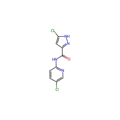 O=C(Nc1ccc(Cl)cn1)c1cc(Cl)[nH]n1